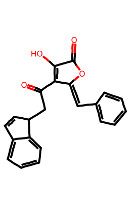 O=C(CC1C=Cc2ccccc21)C1=C(O)C(=O)OC1=Cc1ccccc1